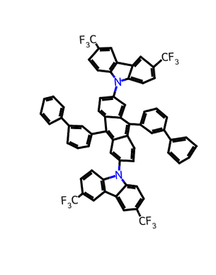 FC(F)(F)c1ccc2c(c1)c1cc(C(F)(F)F)ccc1n2-c1ccc2c(-c3cccc(-c4ccccc4)c3)c3cc(-n4c5ccc(C(F)(F)F)cc5c5cc(C(F)(F)F)ccc54)ccc3c(-c3cccc(-c4ccccc4)c3)c2c1